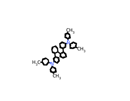 CC1=CC=C(N(c2ccc(C)cc2)c2cccc(C3=CC=CC=CC3c3ccccc3-c3cccc(N(c4ccc(C)cc4)c4ccc(C)cc4)c3)c2)CC=C1